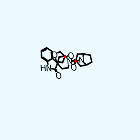 O=C(O[C@H]1CCOC1)N1C2CCC1CC(N1CCC3(CC1)C(=O)Nc1ccccc13)C2